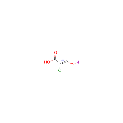 O=C(O)/C(Cl)=C/OI